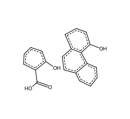 O=C(O)c1ccccc1O.Oc1cccc2ccc3ccccc3c12